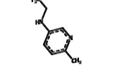 Cc1ccc(NCC(F)(F)F)cn1